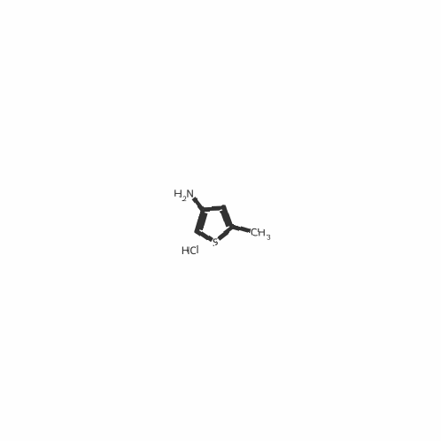 Cc1cc(N)cs1.Cl